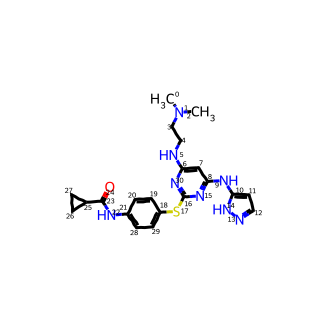 CN(C)CCNc1cc(Nc2ccn[nH]2)nc(Sc2ccc(NC(=O)C3CC3)cc2)n1